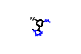 Cn1nnnc1-c1cc(N)cc(C(F)(F)F)c1